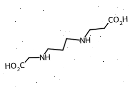 O=C(O)CCNCCCNCC(=O)O